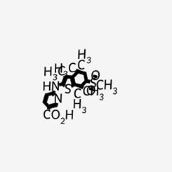 Cc1c(Nc2ccc(C(=O)O)cn2)sc2c1C(C)(C)CC(S(C)(=O)=O)C2(C)C